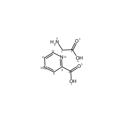 NCC(=O)O.O=C(O)c1cnccn1